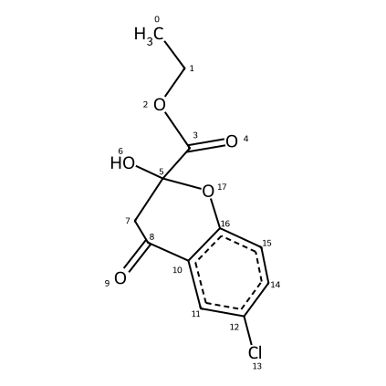 CCOC(=O)C1(O)CC(=O)c2cc(Cl)ccc2O1